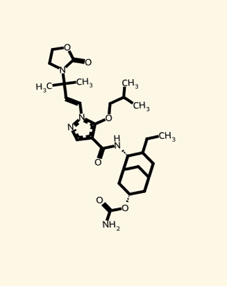 CCC1CC2CC(C[C@@H](OC(N)=O)C2)[C@@H]1NC(=O)c1cnn(/C=C/C(C)(C)N2CCOC2=O)c1OCC(C)C